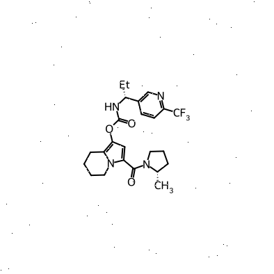 CC[C@@H](NC(=O)Oc1cc(C(=O)N2CCC[C@@H]2C)n2c1CCCC2)c1ccc(C(F)(F)F)nc1